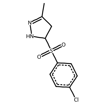 CC1=NNC(S(=O)(=O)c2ccc(Cl)cc2)C1